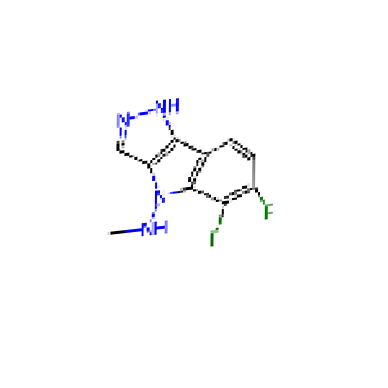 CNn1c2cn[nH]c2c2ccc(F)c(F)c21